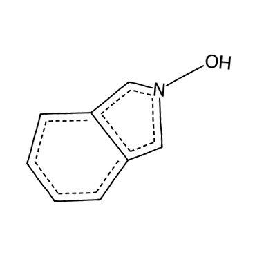 On1cc2ccccc2c1